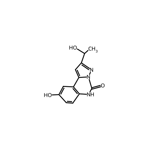 CC(O)c1cc2c3cc(O)ccc3[nH]c(=O)n2n1